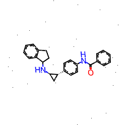 O=C(Nc1ccc([C@@H]2C[C@H]2NC2CCc3ccccc32)cc1)c1ccccc1